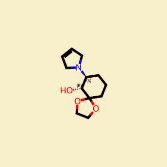 O[C@@H]1[C@@H](N2CC=CC2)CCCC12OCCO2